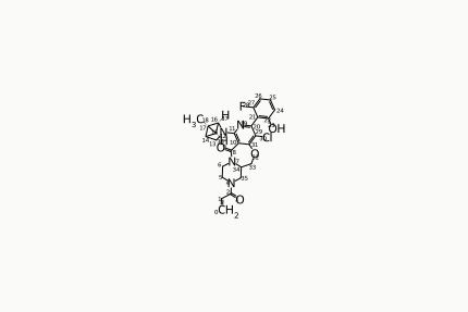 C=CC(=O)N1CCN2C(=O)c3c(N4CC5[C@@H]6[C@H]4[C@]56C)nc(-c4c(O)cccc4F)c(Cl)c3OCC2C1